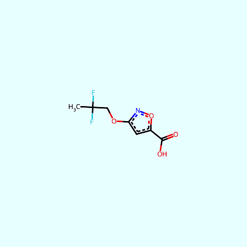 CC(F)(F)COc1cc(C(=O)O)on1